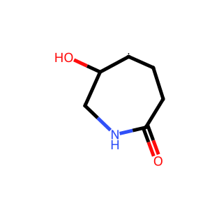 O=C1CC[CH]C(O)CN1